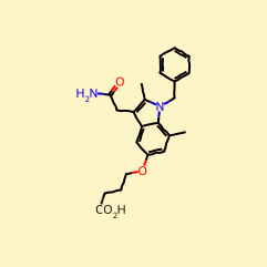 Cc1cc(OCCCC(=O)O)cc2c(CC(N)=O)c(C)n(Cc3ccccc3)c12